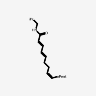 CCCCC/C=C\CC/C=C/C=C/C(=O)NCC(C)C